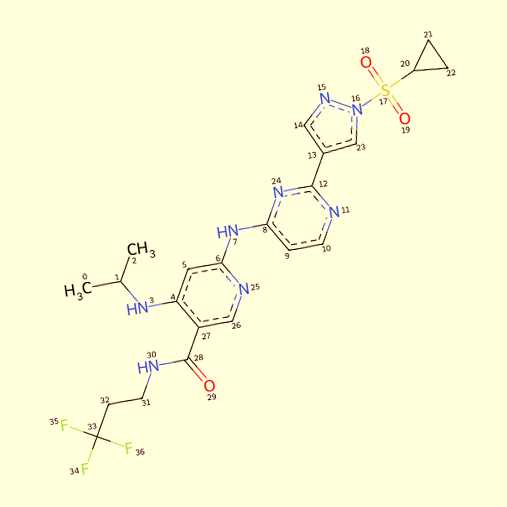 CC(C)Nc1cc(Nc2ccnc(-c3cnn(S(=O)(=O)C4CC4)c3)n2)ncc1C(=O)NCCC(F)(F)F